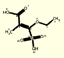 CCOC(=C(C)C(=O)O)S(=O)(=O)O